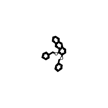 c1ccc(COc2ccc3cc4ccccc4cc3c2OCc2ccccc2)cc1